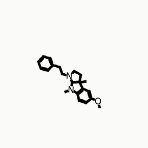 COc1ccc2c(c1)C1(C)CCN(CCc3ccccc3)C1N2C